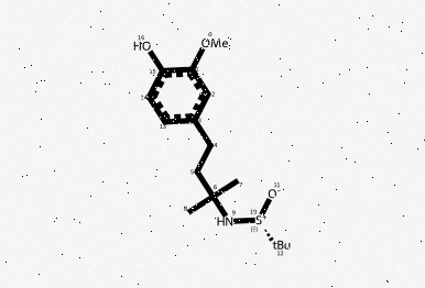 COc1cc(CCC(C)(C)N[S@+]([O-])C(C)(C)C)ccc1O